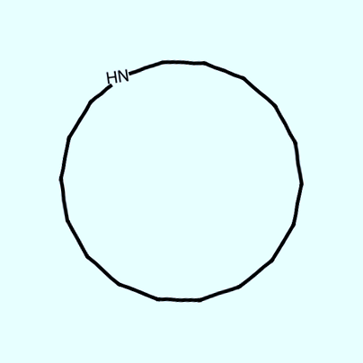 C1CCCCCCCCNCCCCCCCC1